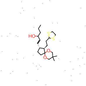 CCCC(O)C=C[C@H]1CCC2(OCC(C)(C)CO2)[C@@H]1CCC1SCCS1